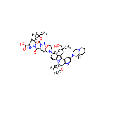 CCn1c(-c2cc(N3CCN4CCCC[C@@H]4C3)cnc2C(C)OC)c(CC(C)(C)CO)c2cc(N3CCO[C@@H](CC(NC(=O)OC(C)(C)C)C(=O)N4CCC[C@@H](C(=O)O)N4)C3)ccc21